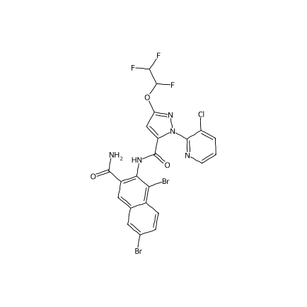 NC(=O)c1cc2cc(Br)ccc2c(Br)c1NC(=O)c1cc(OC(F)C(F)F)nn1-c1ncccc1Cl